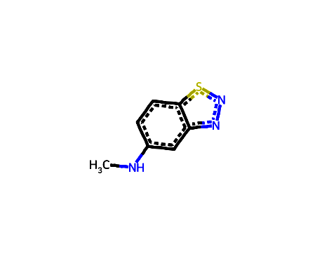 CNc1ccc2snnc2c1